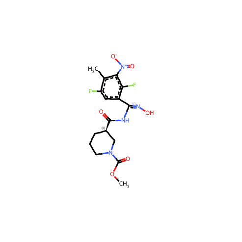 COC(=O)N1CCC[C@@H](C(=O)N/C(=N\O)c2cc(F)c(C)c([N+](=O)[O-])c2F)C1